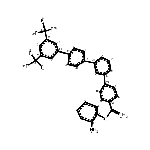 C=C(Oc1ccccc1N)c1ccc(-c2cccc(-c3ccc(-c4cc(C(F)(F)F)cc(C(F)(F)F)c4)cc3)c2)cc1